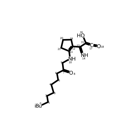 CCC(C)CCCCCCC(=O)CNC1=C(C(=N)C(O)=C=O)CCC1